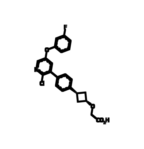 O=C(O)CO[C@H]1C[C@@H](c2ccc(-c3cc(Oc4cccc(F)c4)cnc3Cl)cc2)C1